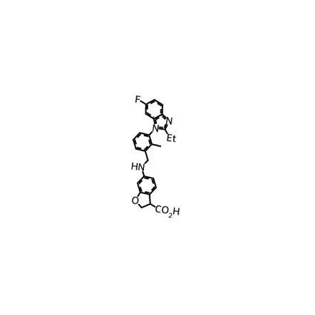 CCc1nc2ccc(F)cc2n1-c1cccc(CNc2ccc3c(c2)OCC3C(=O)O)c1C